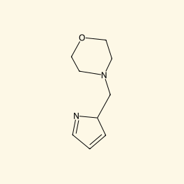 C1=CC(CN2CCOCC2)N=C1